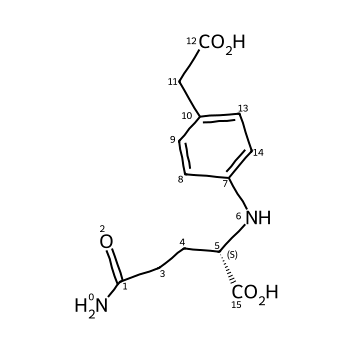 NC(=O)CC[C@H](Nc1ccc(CC(=O)O)cc1)C(=O)O